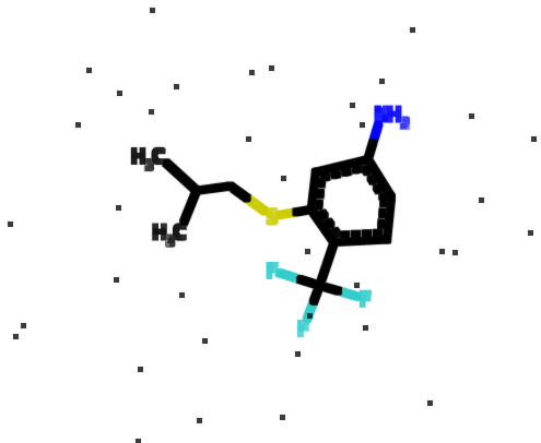 CC(C)CSc1cc(N)ccc1C(F)(F)F